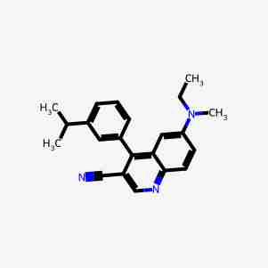 CCN(C)c1ccc2ncc(C#N)c(-c3cccc(C(C)C)c3)c2c1